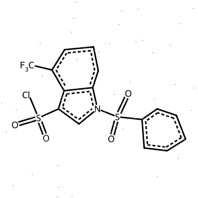 O=S(=O)(Cl)c1cn(S(=O)(=O)c2ccccc2)c2cccc(C(F)(F)F)c12